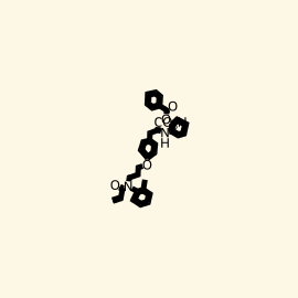 C=CC(=O)N(CCCOc1ccc(CC(Nc2ccccc2OC(=O)c2ccccc2)C(=O)O)cc1)c1ccccc1C